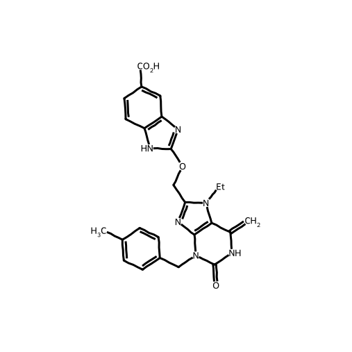 C=C1NC(=O)N(Cc2ccc(C)cc2)c2nc(COc3nc4cc(C(=O)O)ccc4[nH]3)n(CC)c21